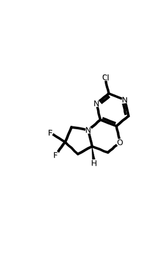 FC1(F)C[C@H]2COc3cnc(Cl)nc3N2C1